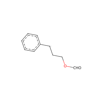 O=COCC[CH]c1ccccc1